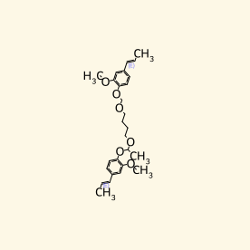 C/C=C/c1ccc(OCOCCCCOC(C)Oc2ccc(/C=C/C)cc2OC)c(OC)c1